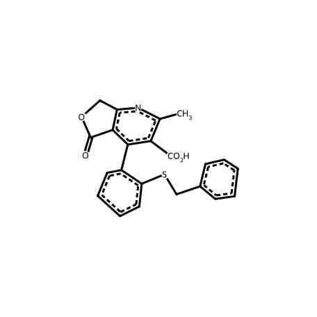 Cc1nc2c(c(-c3ccccc3SCc3ccccc3)c1C(=O)O)C(=O)OC2